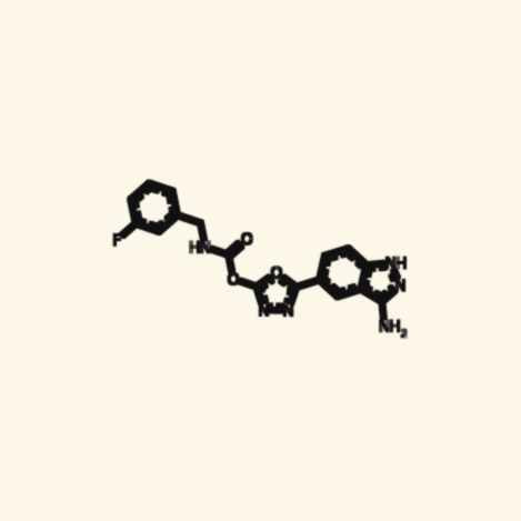 Nc1n[nH]c2ccc(-c3nnc(OC(=O)NCc4cccc(F)c4)o3)cc12